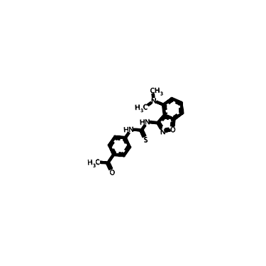 CC(=O)c1ccc(NC(=S)Nc2noc3cccc(N(C)C)c23)cc1